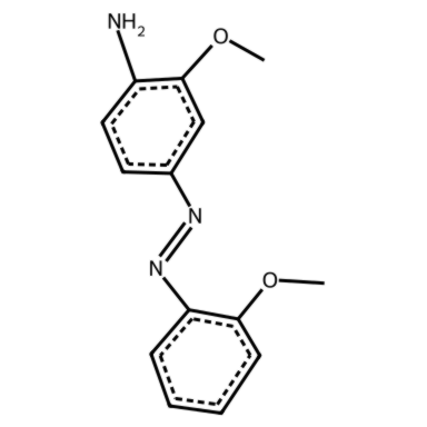 COc1cc(N=Nc2ccccc2OC)ccc1N